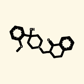 COc1ccccc1C1(O)CCN(CC2CCc3ccccc3C2=O)CC1